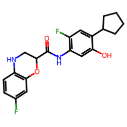 O=C(Nc1cc(O)c(C2CCCC2)cc1F)C1CNc2ccc(F)cc2O1